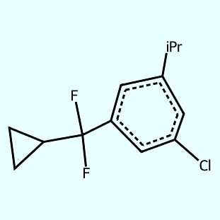 CC(C)c1cc(Cl)cc(C(F)(F)C2CC2)c1